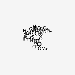 C=C[C@@H]1C[C@]1(NC(=O)[C@@H]1C[C@@H](Oc2cc(-c3nc(C(C)C)cs3)nc3c(Cl)c(OC)ccc23)CN1C(=O)C(NC(=O)O[C@@H]1C[C@@H]2C[C@@H]2C1)C(=C)C)C(=O)O